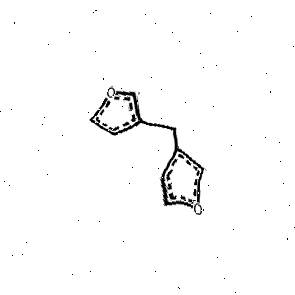 [c]1occc1Cc1[c]occ1